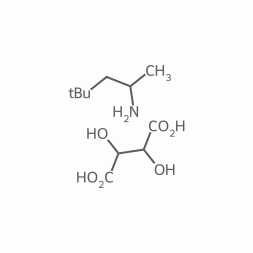 CC(N)CC(C)(C)C.O=C(O)C(O)C(O)C(=O)O